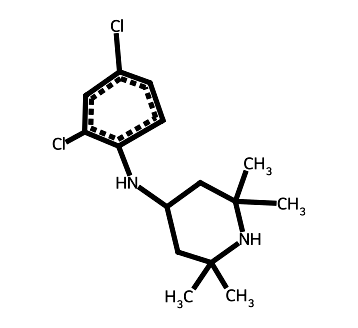 CC1(C)CC(Nc2ccc(Cl)cc2Cl)CC(C)(C)N1